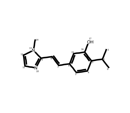 CC(C)c1ccc(/C=C/c2nccn2C)cc1O